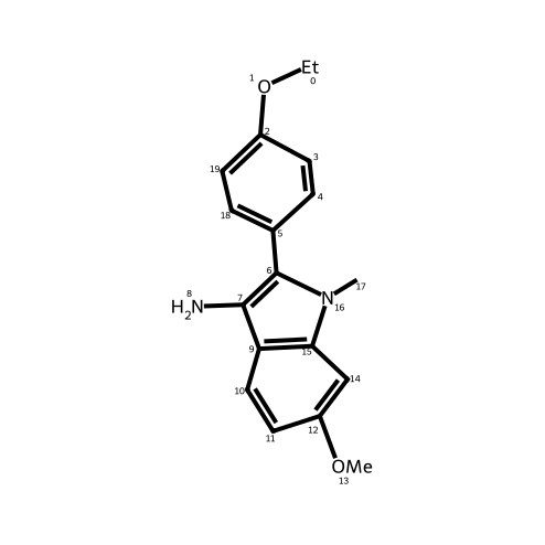 CCOc1ccc(-c2c(N)c3ccc(OC)cc3n2C)cc1